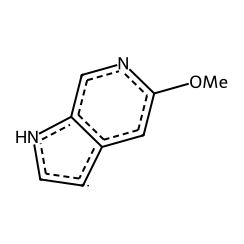 COc1cc2[c]c[nH]c2cn1